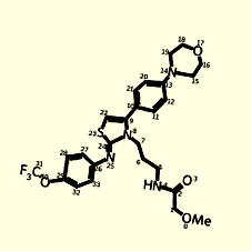 COCC(=O)NCCCn1c(-c2ccc(N3CCOCC3)cc2)cs/c1=N\c1ccc(OC(F)(F)F)cc1